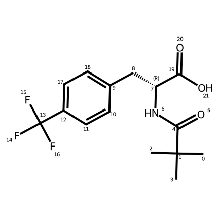 CC(C)(C)C(=O)N[C@H](Cc1ccc(C(F)(F)F)cc1)C(=O)O